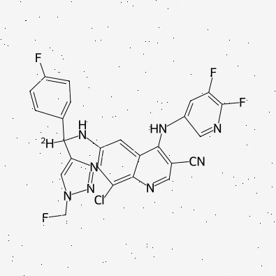 [2H]C(Nc1cc(Cl)c2ncc(C#N)c(Nc3cnc(F)c(F)c3)c2c1)(c1ccc(F)cc1)c1cn(CF)nn1